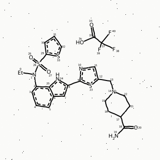 CCN(c1cccc2cc(-c3ncc(CN4CCC(C(N)=O)CC4)s3)[nH]c12)S(=O)(=O)c1cccs1.O=C(O)C(F)(F)F